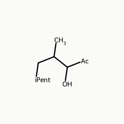 CCCC(C)CC(C)C(O)C(C)=O